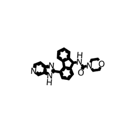 O=C(NC1c2ccccc2-c2c(-c3nc4ccncc4[nH]3)cccc21)N1CCOCC1